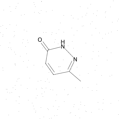 Cc1ccc(=O)[nH]n1